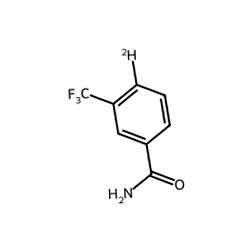 [2H]c1ccc(C(N)=O)cc1C(F)(F)F